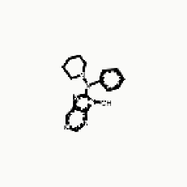 On1c(N(c2ccccc2)N2CCCCC2)nc2cncnc21